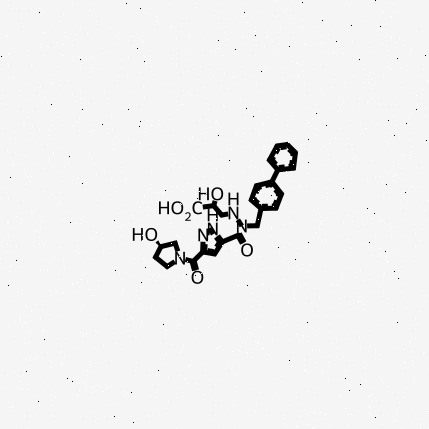 O=C(O)C(O)CNN(Cc1ccc(-c2ccccc2)cc1)C(=O)c1cc(C(=O)N2CC[C@@H](O)C2)n[nH]1